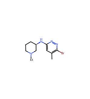 CCN1CCC[C@@H](Nc2cc(C)c(Br)nn2)C1